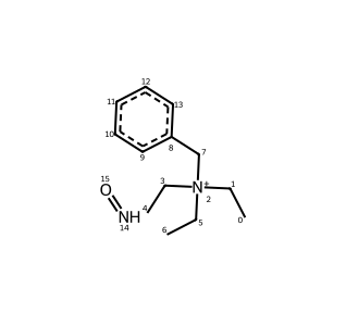 CC[N+](CC)(CC)Cc1ccccc1.N=O